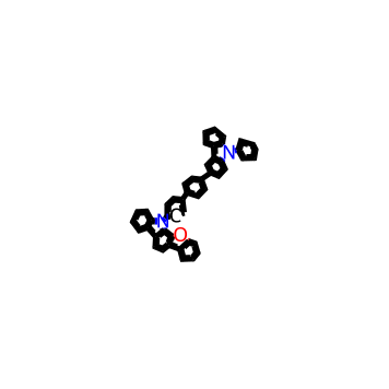 c1ccc(-n2c3ccccc3c3cc(-c4ccc(-c5ccc(-n6c7ccccc7c7ccc8c9ccccc9oc8c76)cc5)cc4)ccc32)cc1